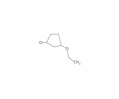 CCOC1CCC([O])C1